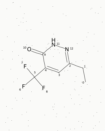 CCc1cc(C(F)(F)F)c(=O)[nH]n1